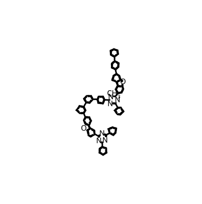 CN1C(c2ccc3oc4cc(-c5ccc(-c6ccccc6)cc5)ccc4c3c2)=NC(c2ccccc2)=NC1c1ccc(-c2cccc(-c3cccc(-c4ccc5c(c4)oc4ccc(-c6nc(-c7ccccc7)nc(-c7ccccc7)n6)cc45)c3)c2)cc1